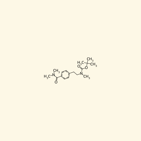 CN(C)C(=O)c1ccc(CCN(C)C(=O)OC(C)(C)C)cc1